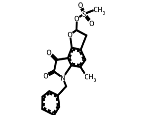 Cc1cc2c(c3c1N(Cc1ccccc1)C(=O)C3=O)OC(OS(C)(=O)=O)C2